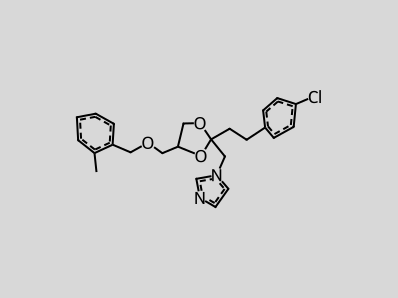 Cc1ccccc1COCC1COC(CCc2ccc(Cl)cc2)(Cn2ccnc2)O1